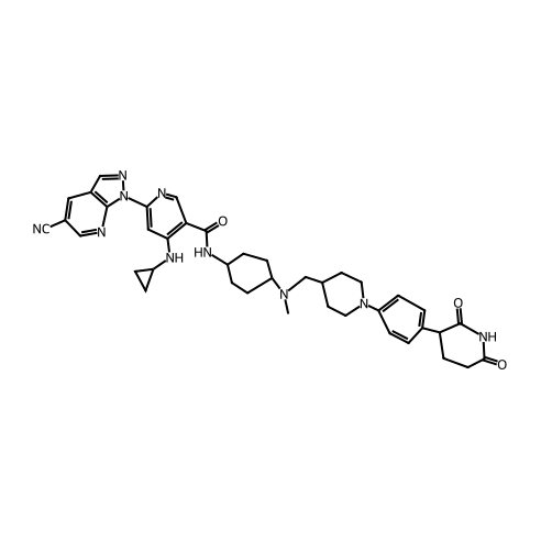 CN(CC1CCN(c2ccc(C3CCC(=O)NC3=O)cc2)CC1)C1CCC(NC(=O)c2cnc(-n3ncc4cc(C#N)cnc43)cc2NC2CC2)CC1